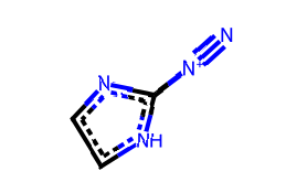 N#[N+]c1ncc[nH]1